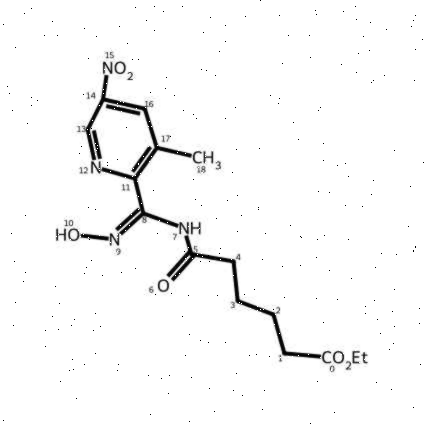 CCOC(=O)CCCCC(=O)N/C(=N/O)c1ncc([N+](=O)[O-])cc1C